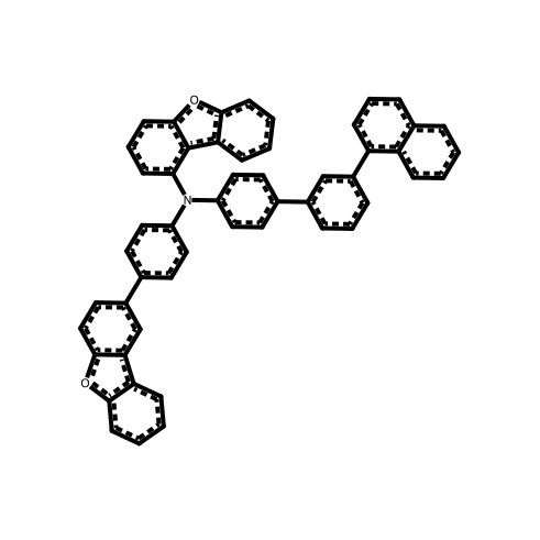 c1cc(-c2ccc(N(c3ccc(-c4ccc5oc6ccccc6c5c4)cc3)c3cccc4oc5ccccc5c34)cc2)cc(-c2cccc3ccccc23)c1